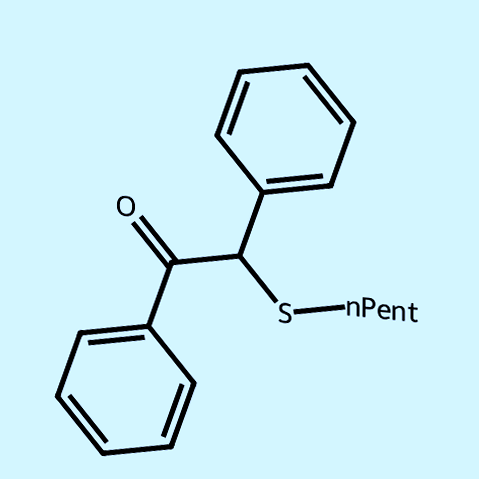 CCCCCSC(C(=O)c1ccccc1)c1ccccc1